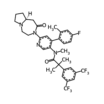 Cc1cc(F)ccc1-c1cc(N2CCN3CCC[C@H]3CC2=O)ncc1N(C)C(=O)C(C)(C)c1cc(C(F)(F)F)cc(C(F)(F)F)c1